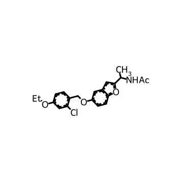 CCOc1ccc(COc2ccc3oc(C(C)NC(C)=O)cc3c2)c(Cl)c1